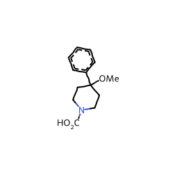 COC1(c2ccccc2)CCN(C(=O)O)CC1